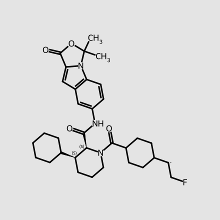 CC1(C)OC(=O)c2cc3cc(NC(=O)[C@@H]4[C@H](C5CCCCC5)CCCN4C(=O)C4CCC([CH]CF)CC4)ccc3n21